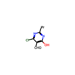 CC(C)c1nc(O)c(C=O)c(Cl)n1